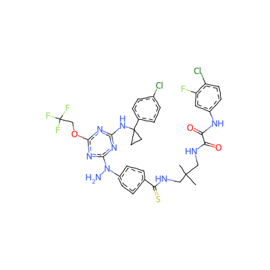 CC(C)(CNC(=O)C(=O)Nc1ccc(Cl)c(F)c1)CNC(=S)c1ccc(N(N)c2nc(NC3(c4ccc(Cl)cc4)CC3)nc(OCC(F)(F)F)n2)cc1